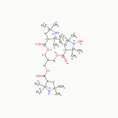 CC1(C)CC(C(=O)OCC(COC(=O)C2CC(C)(C)NC2(C)C)COC(=O)C2CC(C)(C)N(O)C2(C)C)C(C)(C)N1